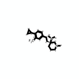 CN1CCC[C@](CCc2ccc(C3CC3)c(C(F)(F)F)c2)(N(C)C)C1